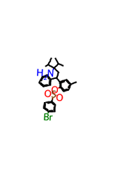 Cc1ccc(OS(=O)(=O)c2ccc(Br)cc2)c(C(CC(N)(C(C)C)C(C)C)c2ccccc2)c1